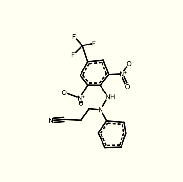 N#CCCN(Nc1c([N+](=O)[O-])cc(C(F)(F)F)cc1[N+](=O)[O-])c1ccccc1